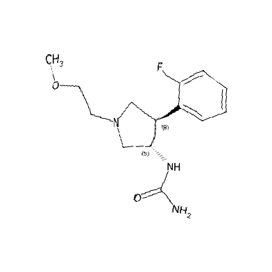 COCCN1C[C@@H](NC(N)=O)[C@H](c2ccccc2F)C1